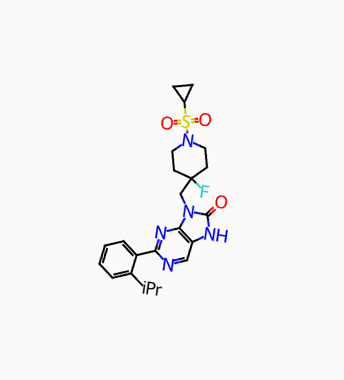 CC(C)c1ccccc1-c1ncc2[nH]c(=O)n(CC3(F)CCN(S(=O)(=O)C4CC4)CC3)c2n1